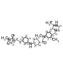 Cc1cc(N(C)C(=O)[C@H]2CC[C@H](Nc3cccc(CCOC(=O)N(C)C)c3)CC2)ccc1CN1CCN[C@@H](C)C1